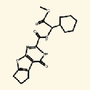 COC(=O)C(NC(=O)c1nc2sc3c(c2c(=O)[nH]1)CCC3)C1CCCCC1